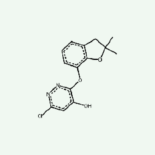 CC1(C)Cc2cccc(Oc3nnc(Cl)cc3O)c2O1